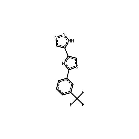 FC(F)(F)c1cccc(-c2nc(-c3cnn[nH]3)cs2)c1